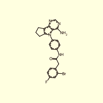 Nc1ncnc2c3c(n(-c4ccc(NC(=O)Cc5ccc(F)cc5Br)cc4)c12)CCC3